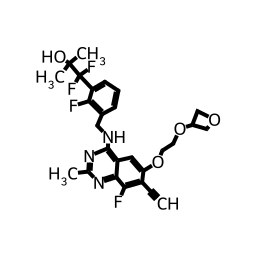 C#Cc1c(OCCOC2COC2)cc2c(NCc3cccc(C(F)(F)C(C)(C)O)c3F)nc(C)nc2c1F